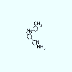 Cc1cccc(-n2ncc3ccc(-c4ccc(N)nc4)cc32)c1